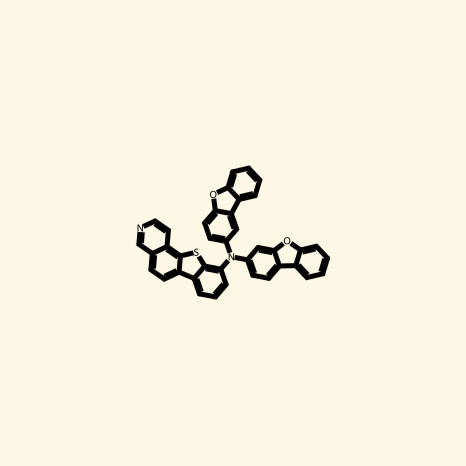 c1ccc2c(c1)oc1cc(N(c3ccc4oc5ccccc5c4c3)c3cccc4c3sc3c5ccncc5ccc43)ccc12